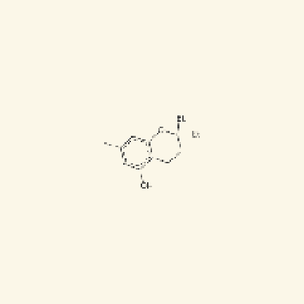 CCC1(CC)CCc2c(O)cc(C)cc2O1